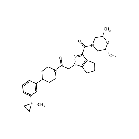 C[C@@H]1CN(C(=O)c2nn(CC(=O)N3CCC(c4cccc(C5(C)CC5)c4)CC3)c3c2CCC3)C[C@H](C)O1